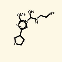 COc1nc(C2CCOC2)cn1C(O)NCCC(C)C